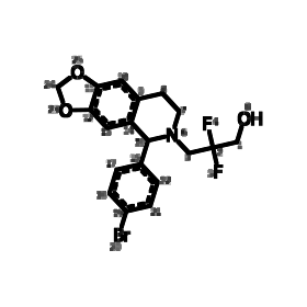 OCC(F)(F)CN1CCc2cc3c(cc2C1c1ccc(Br)cc1)OCO3